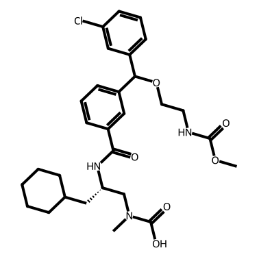 COC(=O)NCCOC(c1cccc(Cl)c1)c1cccc(C(=O)N[C@@H](CC2CCCCC2)CN(C)C(=O)O)c1